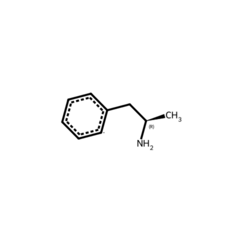 C[C@@H](N)Cc1[c]cccc1